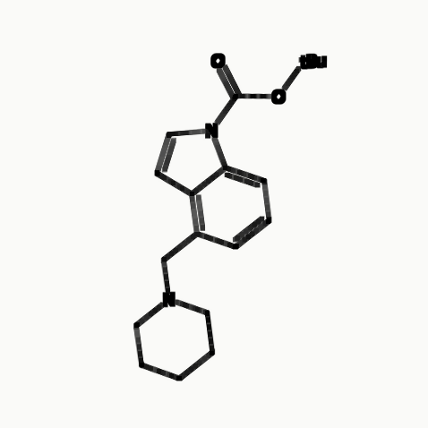 CC(C)(C)OC(=O)n1ccc2c(CN3CCCCC3)cccc21